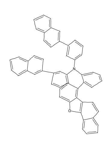 c1cc(-c2ccc3ccccc3c2)cc(N(c2cccc(-c3ccc4ccccc4c3)c2)c2ccccc2-c2cccc3oc4c5ccccc5ccc4c23)c1